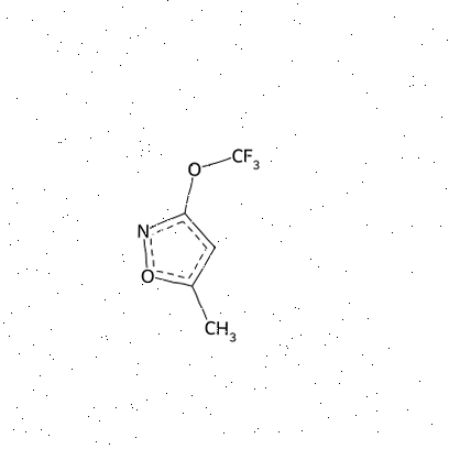 Cc1cc(OC(F)(F)F)no1